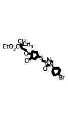 CCOC(=O)C(C)(C)CCOc1ccc(SCn2ncn(-c3ccc(Br)cc3)c2=O)cc1Cl